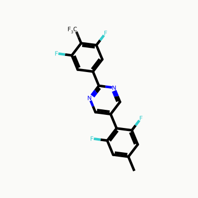 Cc1cc(F)c(-c2cnc(-c3cc(F)c(C(F)(F)F)c(F)c3)nc2)c(F)c1